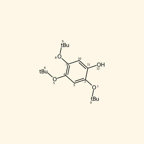 CC(C)(C)Oc1cc(OC(C)(C)C)c(OC(C)(C)C)cc1O